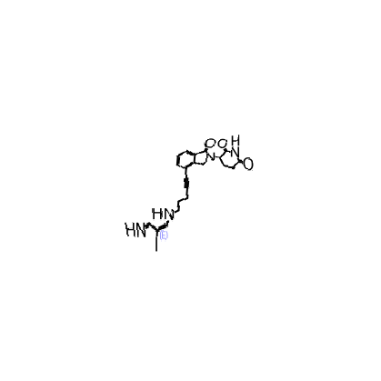 N=C/C(I)=C\NCCCC#Cc1cccc2c1CN(C1CCC(=O)NC1=O)C2=O